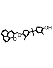 Cc1cc(C(C)(C)c2ccc(OCC3=Cc4cccc5cccc(c45)C3=O)c(C)c2)ccc1O